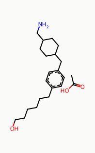 CC(=O)O.NCC1CCC(Cc2ccc(CCCCCCO)cc2)CC1